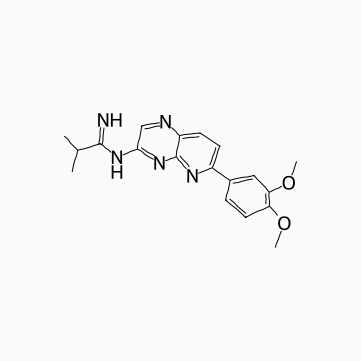 COc1ccc(-c2ccc3ncc(NC(=N)C(C)C)nc3n2)cc1OC